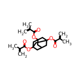 C=C(C)C(=O)OC12CC3CC(OC(=O)C(=C)C)(C1)CC(OC(=O)C(=C)C)(C3)C2